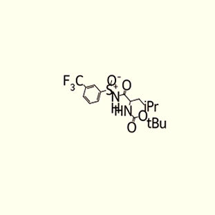 CC(C)CC(NC(=O)OC(C)(C)C)C(=O)N[S+]([O-])c1cccc(C(F)(F)F)c1